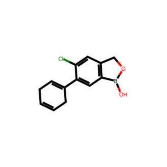 OB1OCc2cc(Cl)c(C3=CCC=CC3)cc21